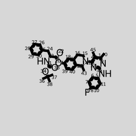 Cc1nc(Nc2ccc(F)cc2)nc(N2CCc3cc(OC(=O)C(Cc4ccccc4)NC(=O)OC(C)(C)C)ccc3C2C)c1C